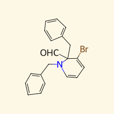 O=CC1(Cc2ccccc2)C(Br)=CC=CN1Cc1ccccc1